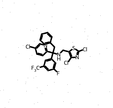 Fc1cc(C(F)(F)F)cc(C(Cc2ccccc2)(NCc2sc(Cl)nc2Cl)c2ccc(Cl)cn2)c1